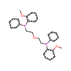 COc1ccccc1P(CCOCCP(c1ccccc1)c1ccccc1OC)c1ccccc1